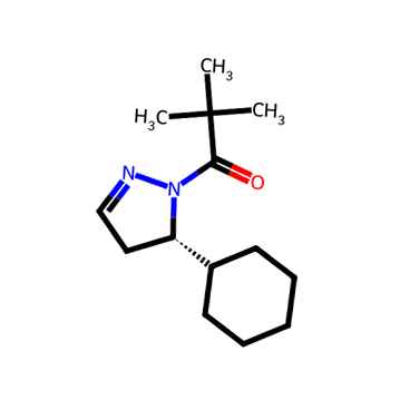 CC(C)(C)C(=O)N1N=CC[C@H]1C1CCCCC1